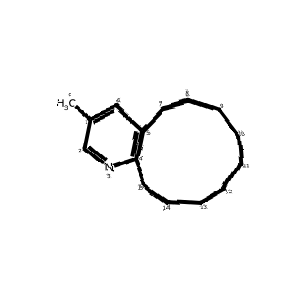 Cc1cnc2c(c1)CCCCCCCCC2